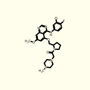 COc1cc(OCC2CCCN2C(=O)CN2CCN(C)CC2)c2c(Nc3ccc(F)c(Cl)c3)ncnc2c1